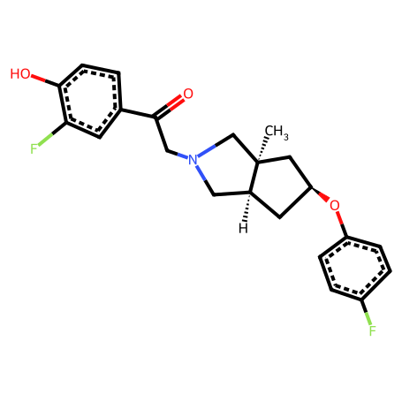 C[C@]12C[C@@H](Oc3ccc(F)cc3)C[C@H]1CN(CC(=O)c1ccc(O)c(F)c1)C2